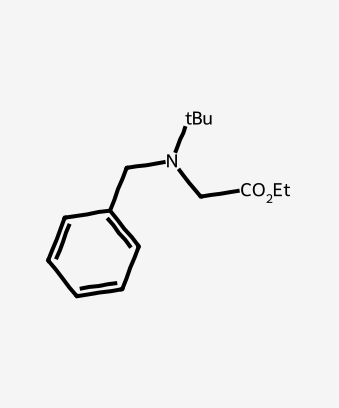 CCOC(=O)CN(Cc1ccccc1)C(C)(C)C